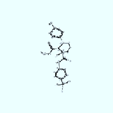 COC(=O)[C@H]1[C@H](c2ccc(Br)cc2)CCC[C@]1(F)C(=O)Nc1ccc(C(F)(F)F)cc1